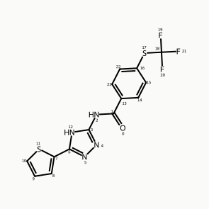 O=C(Nc1nnc(-c2cccs2)[nH]1)c1ccc(SC(F)(F)F)cc1